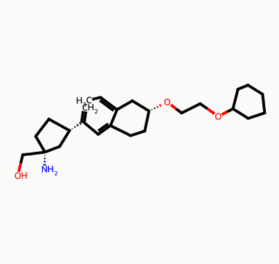 C=C(/C=C1/CC[C@@H](OCCOC2CCCCC2)C/C1=C/C)[C@H]1CC[C@](N)(CO)C1